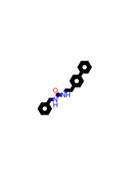 O=C(NC[CH]c1ccc(-c2ccccc2)cc1)NCc1ccccc1